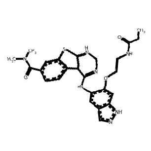 CCC(=O)NCCOc1cc2[nH]ncc2cc1NC1=NCNC2Sc3cc(C(=O)N(C)C)ccc3C12